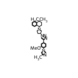 COc1cc(-c2cn(C3CCN(C4CCC(C)(C)c5ccccc54)C3)nn2)ccc1-n1cnc(C)c1